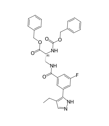 CCc1cn[nH]c1-c1cc(F)cc(C(=O)NC[C@@H](NC(=O)OCc2ccccc2)C(=O)OCc2ccccc2)c1